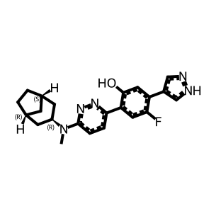 CN(c1ccc(-c2cc(F)c(-c3cn[nH]c3)cc2O)nn1)[C@H]1C[C@@H]2CC[C@@H](C2)C1